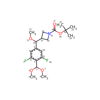 COC(OC)c1c(F)cc(C(OC)C2CN(C(=O)OC(C)(C)C)C2)cc1F